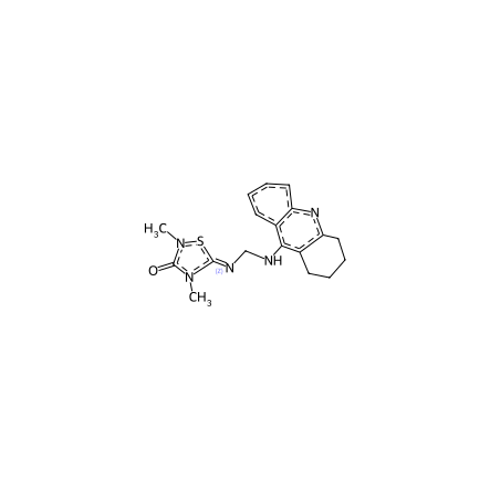 Cn1s/c(=N\CNc2c3c(nc4ccccc24)CCCC3)n(C)c1=O